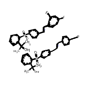 CC(C)(O)c1ccccc1S(=O)(=O)c1ccc(/C=C/c2ccc(F)cc2)cc1.CC(C)(O)c1ccccc1S(=O)(=O)c1ccc(/C=C/c2ccc(F)cc2F)cc1